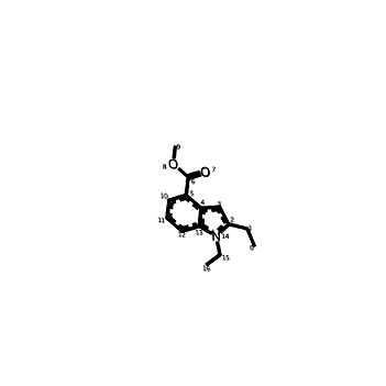 CCc1cc2c(C(=O)OC)cccc2n1CC